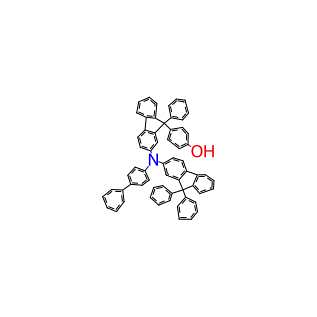 Oc1ccc(C2(c3ccccc3)c3ccccc3-c3ccc(N(c4ccc(-c5ccccc5)cc4)c4ccc5c(c4)C(c4ccccc4)(c4ccccc4)c4ccccc4-5)cc32)cc1